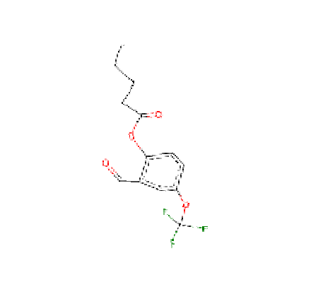 [CH2]CCCC(=O)Oc1ccc(OC(F)(F)F)cc1C=O